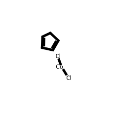 C1=CCC=C1.[Cl][Co][Cl]